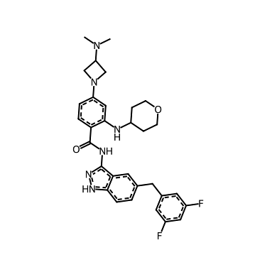 CN(C)C1CN(c2ccc(C(=O)Nc3n[nH]c4ccc(Cc5cc(F)cc(F)c5)cc34)c(NC3CCOCC3)c2)C1